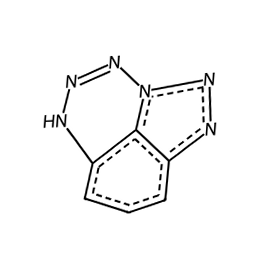 c1cc2c3c(c1)nnn3N=NN2